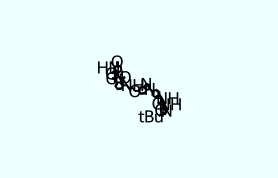 CC(C)(C)c1cnc(NC(=O)Nc2ccc(-n3cnc4cc(OCCNc5cccc6c5C(=O)N(C5CCC(=O)NC5=O)C6=O)ccc43)cc2)o1